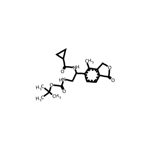 Cc1c(C(CNC(=O)OC(C)(C)C)NC(=O)C2CC2)ccc2c1COC2=O